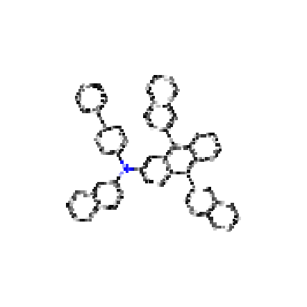 c1ccc(-c2ccc(N(c3ccc4ccccc4c3)c3ccc4c(-c5ccc6ccccc6c5)c5ccccc5c(-c5ccc6ccccc6c5)c4c3)cc2)cc1